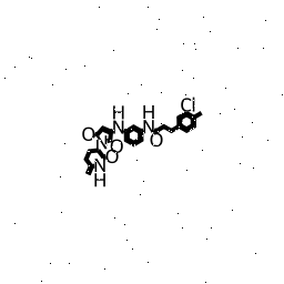 C=C1CCC(N2C(=O)C=C(Nc3cccc(NC(=O)CCc4ccc(C)c(Cl)c4)c3)C2=O)C(=O)N1